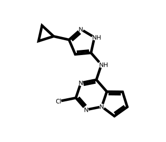 Clc1nc(Nc2cc(C3CC3)n[nH]2)c2cccn2n1